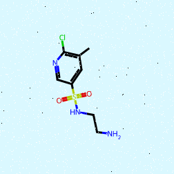 Cc1cc(S(=O)(=O)NCCN)cnc1Cl